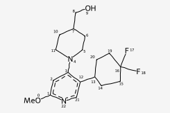 COc1cc(N2CCC(CO)CC2)c(C2CCC(F)(F)CC2)cn1